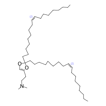 CCCCCCCC/C=C\CCCCCCCCC1(CCCCCCCC/C=C\CCCCCCCC)OC=C(CCN(C)C)O1